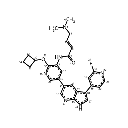 CN(C)C/C=C/C(=O)Nc1cc(-c2cnc3[nH]cc(-c4ccnc(F)c4)c3c2)cnc1OC1CCC1